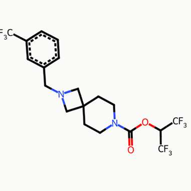 O=C(OC(C(F)(F)F)C(F)(F)F)N1CCC2(CC1)CN(Cc1cccc(C(F)(F)F)c1)C2